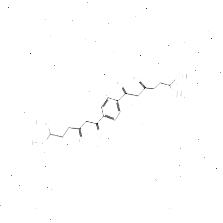 CC(C)CCC(=O)CC(=O)c1ccc(C(=O)CC(=O)CCC(C)C)cc1